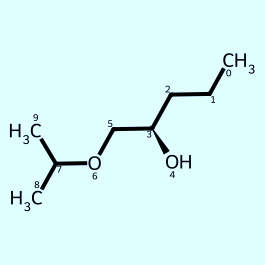 CCC[C@@H](O)COC(C)C